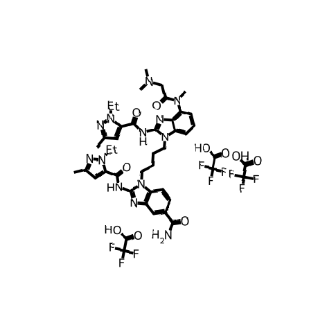 CCn1nc(C)cc1C(=O)Nc1nc2cc(C(N)=O)ccc2n1CCCCn1c(NC(=O)c2cc(C)nn2CC)nc2c(N(C)C(=O)CN(C)C)cccc21.O=C(O)C(F)(F)F.O=C(O)C(F)(F)F.O=C(O)C(F)(F)F